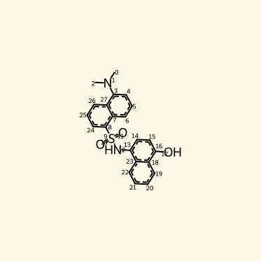 CN(C)c1cccc2c(S(=O)(=O)Nc3ccc(O)c4ccccc34)cccc12